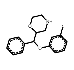 Clc1cccc(OC(c2ccccc2)C2CNCCO2)c1